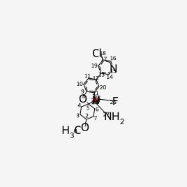 COC1CCC2(CC1)Oc1ccc(-c3cncc(Cl)c3)cc1C21C=C(F)C(N)=N1